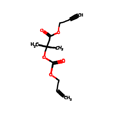 C#CCOC(=O)C(C)(C)OC(=O)OCC=C